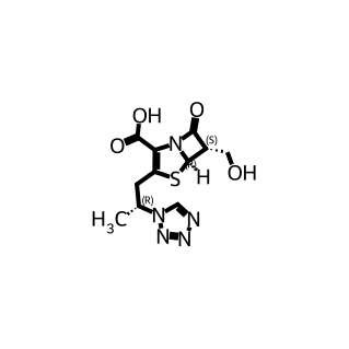 C[C@H](CC1=C(C(=O)O)N2C(=O)[C@H](CO)[C@H]2S1)n1cnnn1